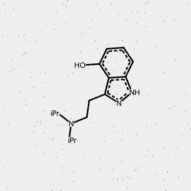 CC(C)N(CCc1n[nH]c2cccc(O)c12)C(C)C